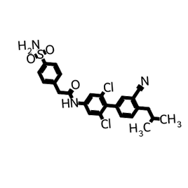 CC(C)Cc1ccc(-c2c(Cl)cc(NC(=O)Cc3ccc(S(N)(=O)=O)cc3)cc2Cl)cc1C#N